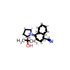 CC(C)(O)[C@H]1CCCN1c1ccc(C#N)c2ccccc12